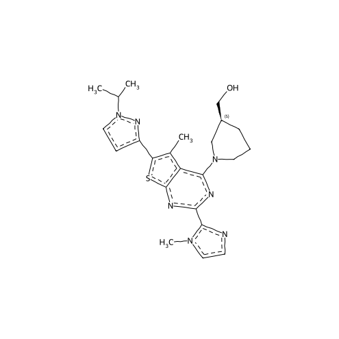 Cc1c(-c2ccn(C(C)C)n2)sc2nc(-c3nccn3C)nc(N3CCC[C@H](CO)C3)c12